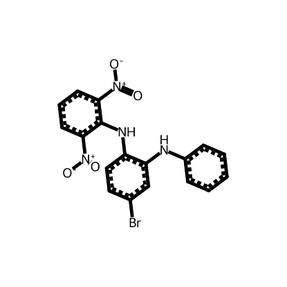 O=[N+]([O-])c1cccc([N+](=O)[O-])c1Nc1ccc(Br)cc1Nc1ccccc1